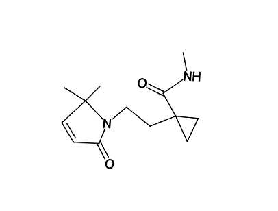 CNC(=O)C1(CCN2C(=O)C=CC2(C)C)CC1